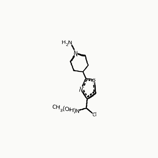 CN(O)C(Cl)c1csc(C2CCN(N)CC2)n1